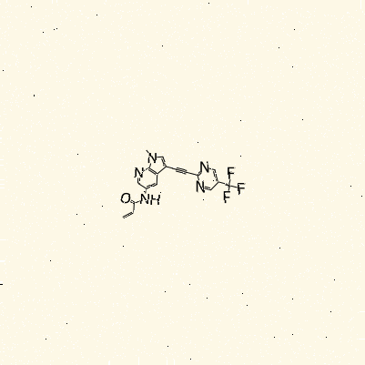 C=CC(=O)Nc1cnc2c(c1)c(C#Cc1ncc(C(F)(F)F)cn1)cn2C